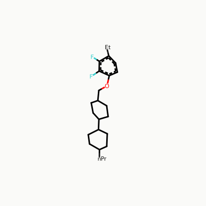 CCCC1CCC(C2CCC(COc3ccc(CC)c(F)c3F)CC2)CC1